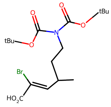 CC(C=C(Br)C(=O)O)CCN(C(=O)OC(C)(C)C)C(=O)OC(C)(C)C